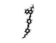 CCCCc1ccc(C#Cc2ccc(C#Cc3ccc(CCC)c4ccccc34)cc2)cc1